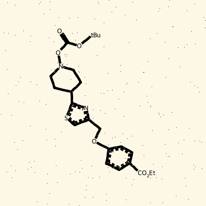 CCOC(=O)c1ccc(OCc2csc(C3CCN(OC(=O)OC(C)(C)C)CC3)n2)cc1